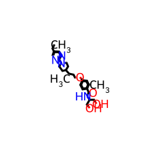 CCc1cnc(N2CCC(C(C)CCOc3ccc(C(=O)NC(CO)CO)c(C)c3)CC2)nc1